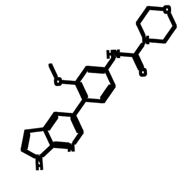 COc1cc(NC(=O)N2CCOCC2)ccc1-c1cnc2[nH]ccc2c1